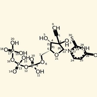 C#CC1(O)[C@@H](O)[C@@H](COP(=O)(O)OP(=O)(O)OP(=O)(O)O)O[C@H]1n1ccc(=O)[nH]c1=S